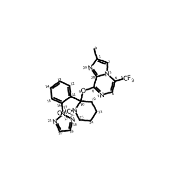 Cc1cn2c(C(F)(F)F)cnc(OC3(c4ccccc4-n4nccn4)CCCCN3C=O)c2n1